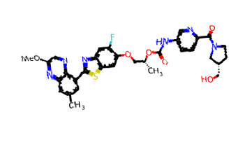 COc1cnc2c(-c3nc4cc(F)c(OC[C@@H](C)OC(=O)Nc5ccc(C(=O)N6CC[C@H](CO)C6)nc5)cc4s3)cc(C)cc2n1